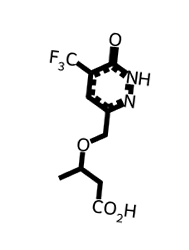 CC(CC(=O)O)OCc1cc(C(F)(F)F)c(=O)[nH]n1